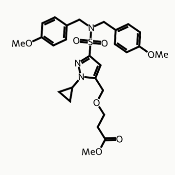 COC(=O)CCOCc1cc(S(=O)(=O)N(Cc2ccc(OC)cc2)Cc2ccc(OC)cc2)nn1C1CC1